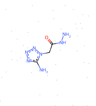 NNC(=O)Cn1nnnc1N